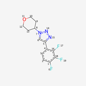 Fc1ccc(-c2cn(C3CCOCC3)nn2)c(F)c1F